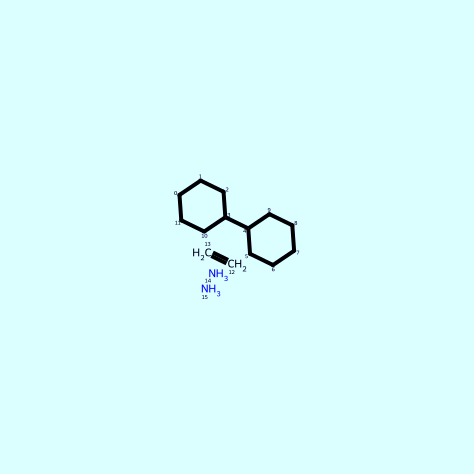 C1CCC(C2CCCCC2)CC1.C=C.N.N